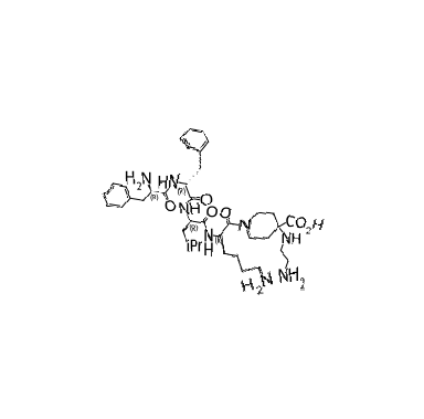 CC(C)C[C@@H](NC(=O)[C@@H](Cc1ccccc1)NC(=O)[C@H](N)Cc1ccccc1)C(=O)N[C@H](CCCCN)C(=O)N1CCC(NCCN)(C(=O)O)CC1